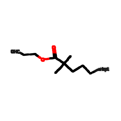 CCCCCCCCCCC(C)(C)C(=O)OCCC=O